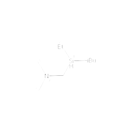 CCC(C)[SiH](CC)CN(C)C